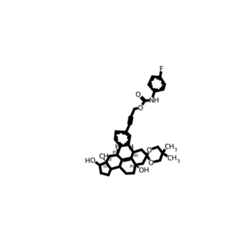 CC1(C)COC2(C[C@H]3C4=C5C(CC[C@@]4(O)C2)C2CCC(O)[C@@]2(C)C[C@@H]5c2ccc(C#CCOC(=O)Nc4ccc(F)cc4)cc23)OC1